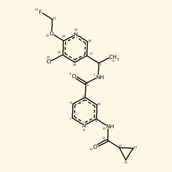 CC(NC(=O)c1ccnc(NC(=O)C2CC2)c1)c1cnc(OCF)c(Cl)c1